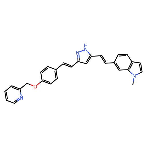 Cn1ccc2ccc(C=Cc3cc(C=Cc4ccc(OCc5ccccn5)cc4)n[nH]3)cc21